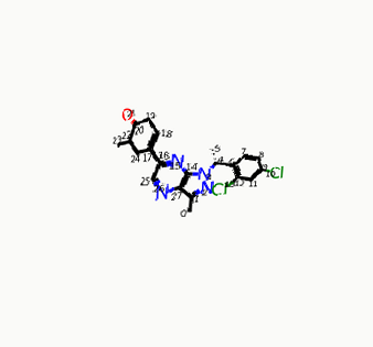 Cc1nn([C@H](C)c2ccc(Cl)cc2Cl)c2nc(C3=CCC(=O)C(C)C3)cnc12